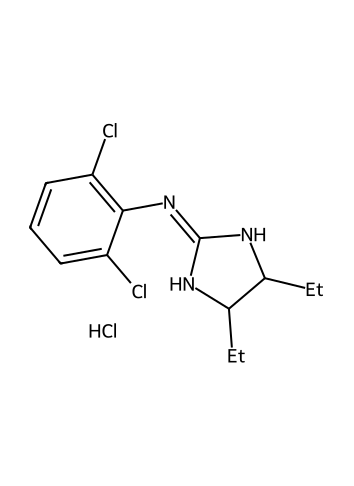 CCC1NC(=Nc2c(Cl)cccc2Cl)NC1CC.Cl